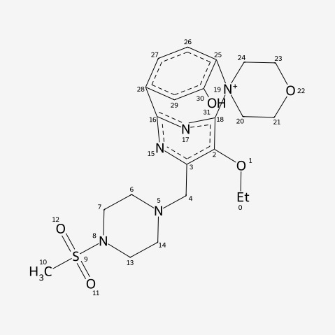 CCOc1c(CN2CCN(S(C)(=O)=O)CC2)nc2nc1[N+]1(CCOCC1)c1ccc-2cc1O